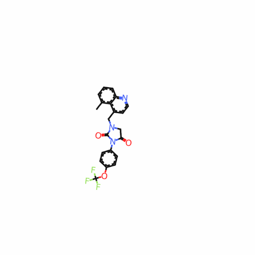 Cc1cccc2nccc(CN3CC(=O)N(c4ccc(OC(F)(F)F)cc4)C3=O)c12